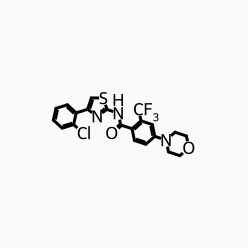 O=C(Nc1nc(-c2ccccc2Cl)cs1)c1ccc(N2CCOCC2)cc1C(F)(F)F